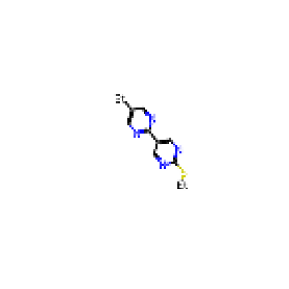 CCSc1ncc(-c2ncc(CC)cn2)cn1